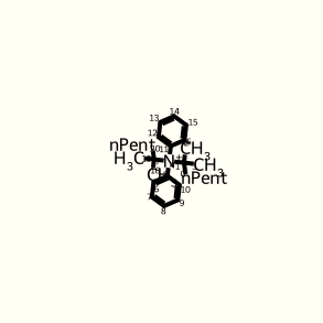 CCCCCC(C)(C)[N+](c1ccccc1)(c1ccccc1)C(C)(C)CCCCC